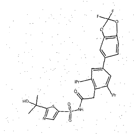 CC(C)c1cc(-c2ccc3c(c2)OC(F)(F)O3)cc(C(C)C)c1CC(=O)NS(=O)(=O)c1cnc(C(C)(C)O)s1